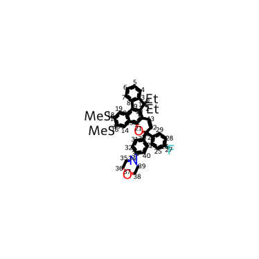 CCC1(CC)c2ccccc2-c2c1c1c(c3cc(SC)c(SC)cc23)OC(c2ccc(F)cc2)(c2ccc(N3CCOCC3)cc2)C=C1